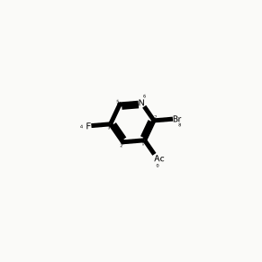 CC(=O)c1cc(F)cnc1Br